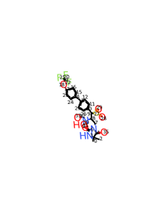 CC1(C)NC(=O)N(CC(C(c2ccc(-c3ccc(OC(F)(F)F)cc3)cc2)=S(=O)=O)N(O)C=O)C1=O